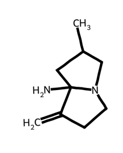 C=C1CCN2CC(C)CC12N